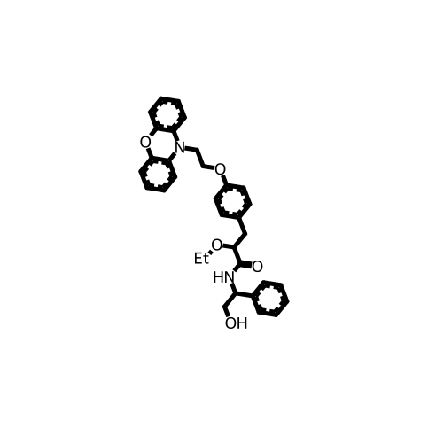 CCOC(Cc1ccc(OCCN2c3ccccc3Oc3ccccc32)cc1)C(=O)NC(CO)c1ccccc1